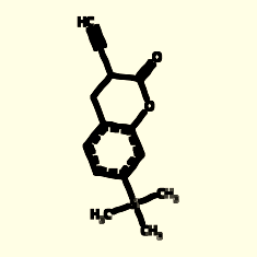 C#CC1Cc2ccc([Si](C)(C)C)cc2OC1=O